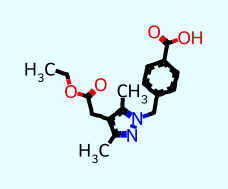 CCOC(=O)Cc1c(C)nn(Cc2ccc(C(=O)O)cc2)c1C